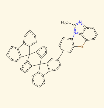 Cc1nc2cccc3c2n1-c1ccc(-c2ccc4c(c2)C2(c5ccccc5-4)c4ccccc4C4(c5ccccc5-c5ccccc54)c4ccccc42)cc1S3